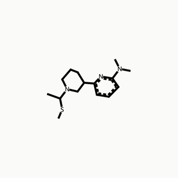 CSC(C)N1CCCC(c2cccc(N(C)C)n2)C1